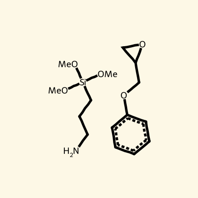 CO[Si](CCCN)(OC)OC.c1ccc(OCC2CO2)cc1